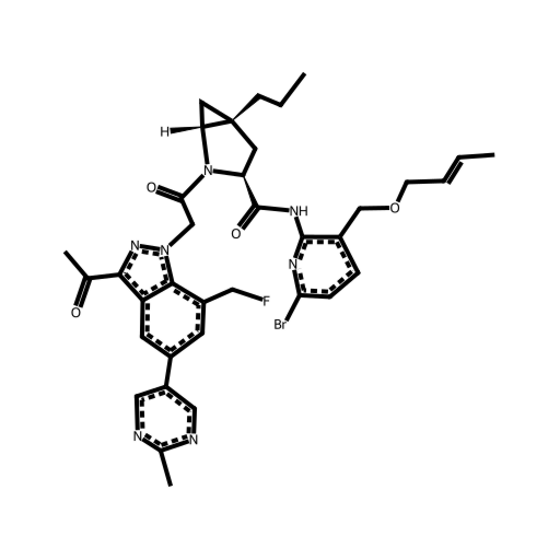 C/C=C/COCc1ccc(Br)nc1NC(=O)[C@@H]1C[C@@]2(CCC)C[C@H]2N1C(=O)Cn1nc(C(C)=O)c2cc(-c3cnc(C)nc3)cc(CF)c21